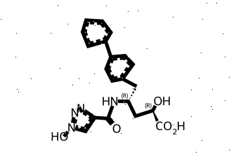 O=C(N[C@H](Cc1ccc(-c2ccccc2)cc1)C[C@@H](O)C(=O)O)c1cn(O)nn1